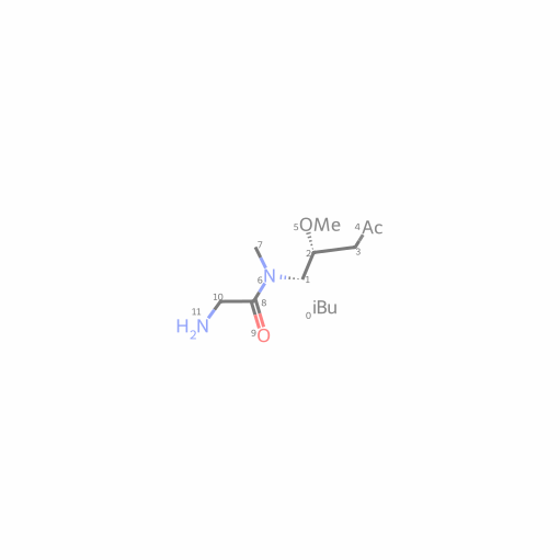 CC[C@H](C)[C@@H]([C@@H](CC(C)=O)OC)N(C)C(=O)CN